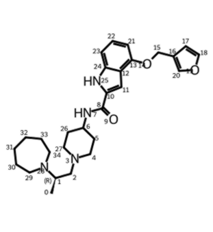 C[C@H](CN1CCC(NC(=O)c2cc3c(OCc4ccoc4)cccc3[nH]2)CC1)N1CCCCCC1